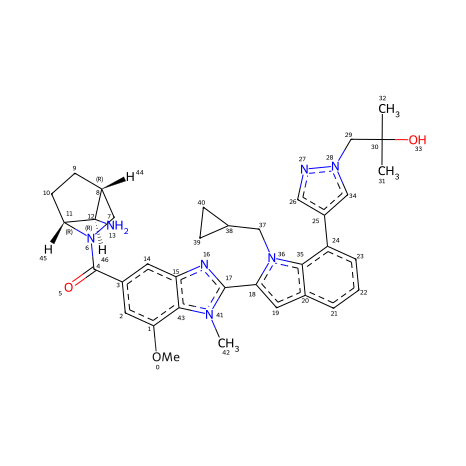 COc1cc(C(=O)N2C[C@H]3CC[C@@H]2[C@@H]3N)cc2nc(-c3cc4cccc(-c5cnn(CC(C)(C)O)c5)c4n3CC3CC3)n(C)c12